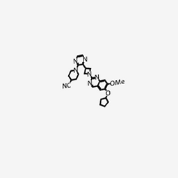 COc1cc2nc(N3CC(c4nccnc4N4CCC(C#N)CC4)C3)ncc2cc1OC1CCCC1